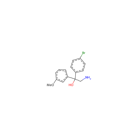 COc1cccc(C(O)(CN)c2ccc(Br)cc2)c1